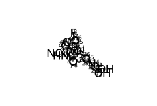 N#C[C@H](NC(=O)[C@@H]1CCCC[C@H]1c1oc(-c2ccc(F)cc2)nc1-c1ccc(N2CCS(O)(O)CC2)cc1)C1CCOCC1